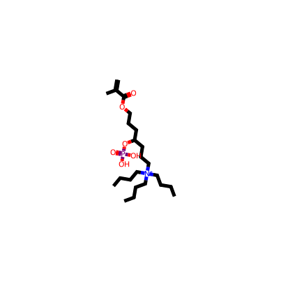 C=C(C)C(=O)OCCCC(CCC[N+](CCCC)(CCCC)CCCC)OP(=O)(O)O